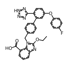 CCOc1nc2cccc(C(=O)O)c2n1Cc1ccc(-c2cc(Oc3ccc(F)cc3)ccc2-c2nn[nH]n2)cc1